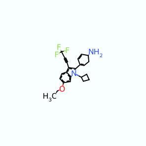 CCOc1ccc2c(C#CC(F)(F)F)c(C3=CCC(N)C=C3)n(C3CCC3)c2c1